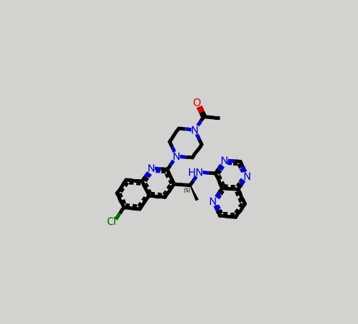 CC(=O)N1CCN(c2nc3ccc(Cl)cc3cc2[C@H](C)Nc2ncnc3cccnc23)CC1